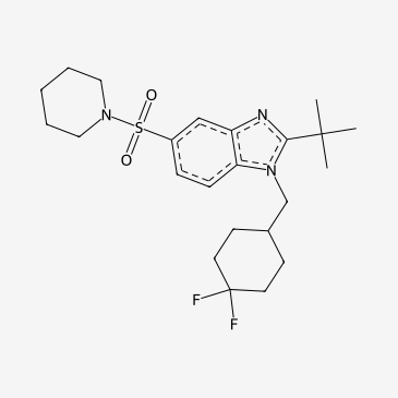 CC(C)(C)c1nc2cc(S(=O)(=O)N3CCCCC3)ccc2n1CC1CCC(F)(F)CC1